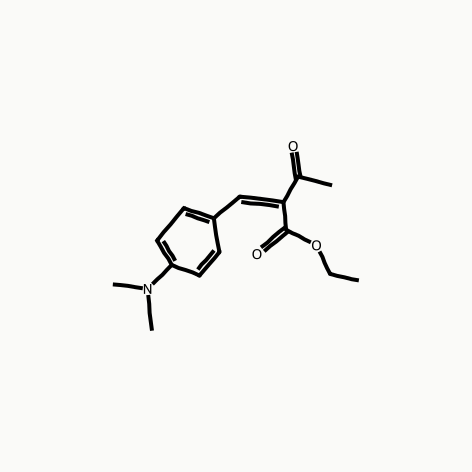 CCOC(=O)C(=Cc1ccc(N(C)C)cc1)C(C)=O